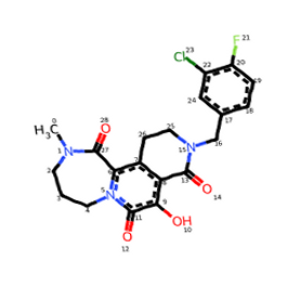 CN1CCCn2c(c3c(c(O)c2=O)C(=O)N(Cc2ccc(F)c(Cl)c2)CC3)C1=O